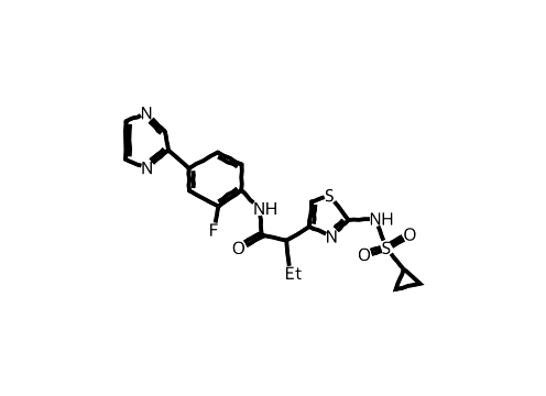 CCC(C(=O)Nc1ccc(-c2cnccn2)cc1F)c1csc(NS(=O)(=O)C2CC2)n1